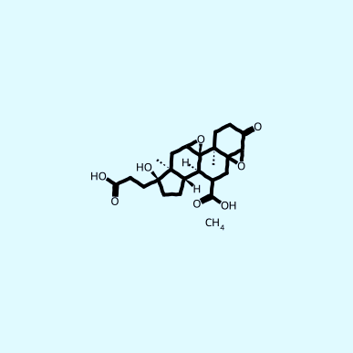 C.C[C@]12CC3O[C@@]34[C@@H](C(C(=O)O)CC35OC3C(=O)CC[C@@]54C)[C@@H]1CC[C@]2(O)CCC(=O)O